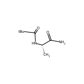 C[C@H](NC(=O)C(C)(C)C)C(N)=O